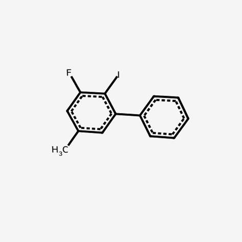 Cc1cc(F)c(I)c(-c2ccccc2)c1